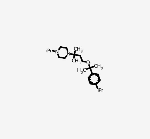 CC(C)c1ccc(C(C)(C)OCCC(C)(C)N2CCN(C(C)C)CC2)cc1